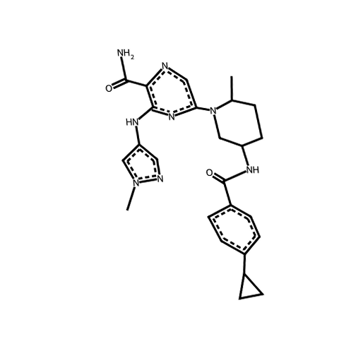 CC1CCC(NC(=O)c2ccc(C3CC3)cc2)CN1c1cnc(C(N)=O)c(Nc2cnn(C)c2)n1